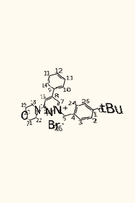 CC(C)(C)c1ccc(C[n+]2cc(-c3ccccc3)cc(N3CCOCC3)n2)cc1.[Br-]